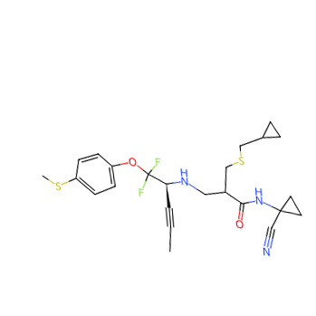 CC#C[C@H](NCC(CSCC1CC1)C(=O)NC1(C#N)CC1)C(F)(F)Oc1ccc(SC)cc1